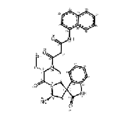 CC(C)C[C@@H](C(=O)N1C[C@]2(C[C@H]1C#N)C(=O)Nc1ccccc12)N(C)C(=O)CC(=O)Nc1cccc2ccccc12